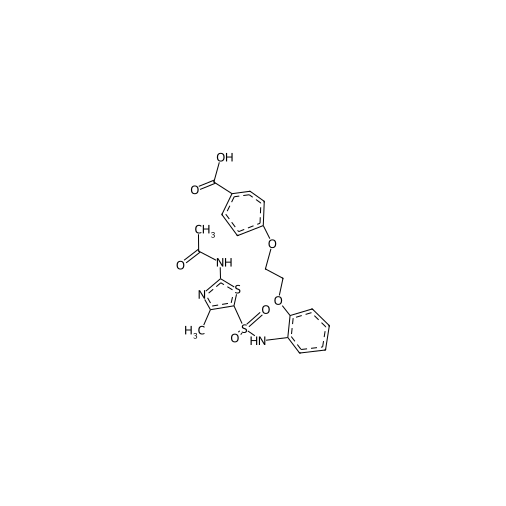 CC(=O)Nc1nc(C)c(S(=O)(=O)Nc2ccccc2OCCOc2ccc(C(=O)O)cc2)s1